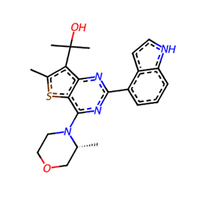 Cc1sc2c(N3CCOC[C@H]3C)nc(-c3cccc4[nH]ccc34)nc2c1C(C)(C)O